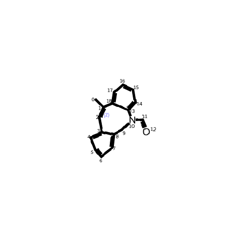 C/C1=C/c2ccccc2CN(C=O)c2ccccc21